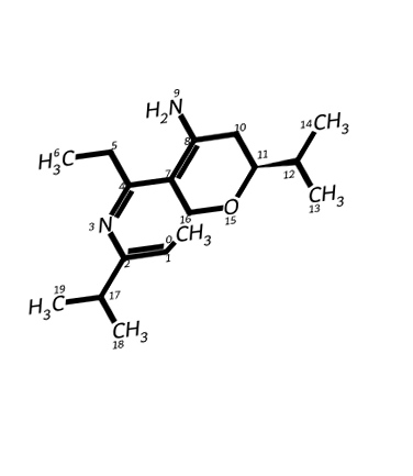 C/C=C(\N=C(\CC)C1=C(N)C[C@@H](C(C)C)OC1)C(C)C